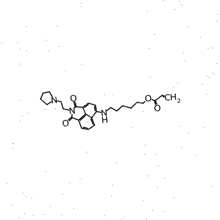 C=CC(=O)OCCCCCCNc1ccc2c3c(cccc13)C(=O)N(CCN1CCCC1)C2=O